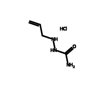 C=CCNNC(N)=O.Cl